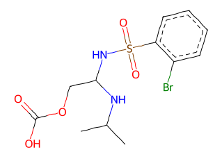 CC(C)NC(COC(=O)O)NS(=O)(=O)c1ccccc1Br